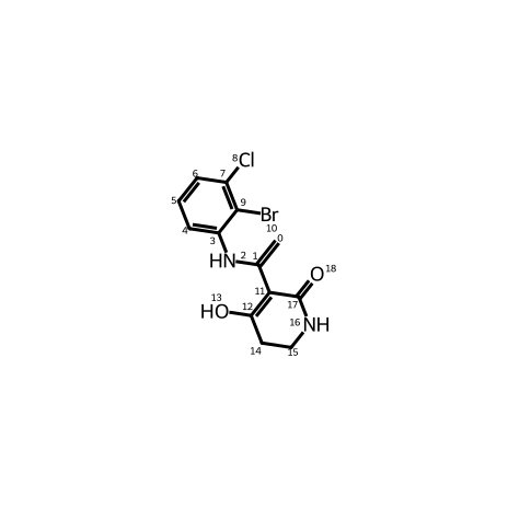 C=C(Nc1cccc(Cl)c1Br)C1=C(O)CCNC1=O